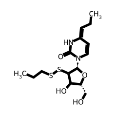 CCC=C1C=CN([C@@H]2O[C@H](CO)C(O)C2SSCCC)C(=O)N1